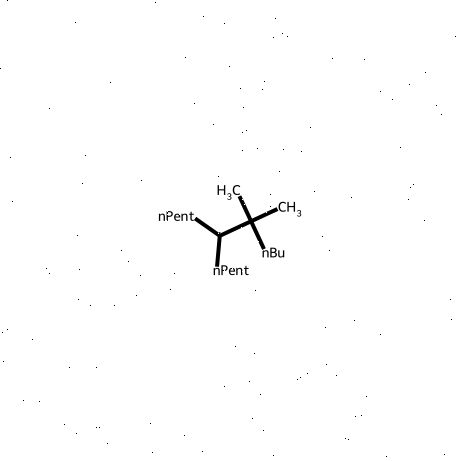 CCCCC[C](CCCCC)C(C)(C)CCCC